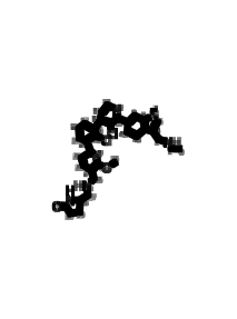 CCNCc1cn(C)c2cc(-c3nccc(-c4cccc(-c5ccc(CNCC6CCC(=O)N6)c(OC)n5)c4Cl)c3Cl)ccc12